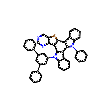 c1ccc(-c2cc(-c3ccccc3)cc(-n3c4ccccc4c4c5c(c6ccccc6n5-c5ccccc5)c5sc6cncnc6c5c43)c2)cc1